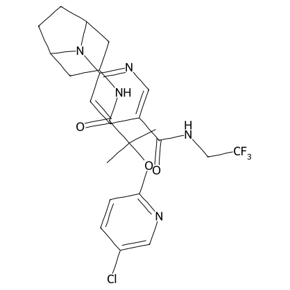 CC(C)(Oc1ccc(Cl)cn1)C(=O)NC1CC2CCC(C1)N2c1ccc(C(=O)NCC(F)(F)F)cn1